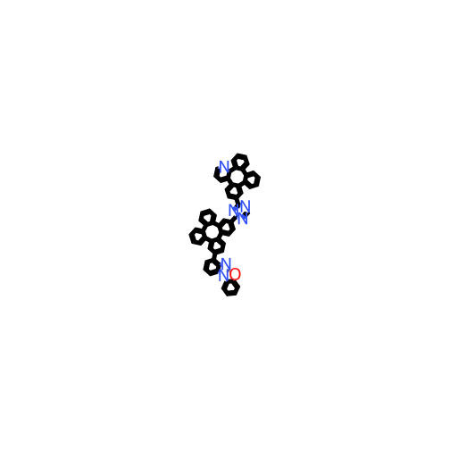 c1ccc2c(c1)-c1ccccc1-c1cc(-c3cccc4c3nc3oc5ccccc5n34)ccc1-c1ccc(-c3ncnc(-c4ccc5c(c4)-c4ccccc4-c4ccccc4-c4ncccc4-5)n3)cc1-2